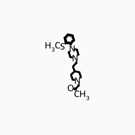 CSc1ccccc1N1CCN(CCC2CCN(CC(C)=O)CC2)CC1